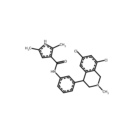 Cc1cc(C(=O)Nc2cccc(C3CN(C)Cc4c(Cl)cc(Cl)cc43)c2)c(C)[nH]1